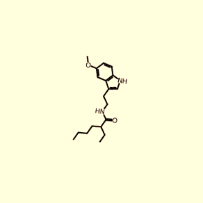 CCCCC(CC)C(=O)NCCc1c[nH]c2ccc(OC)cc12